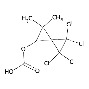 CC1(C)C(OC(=O)O)C12C(Cl)(Cl)C2(Cl)Cl